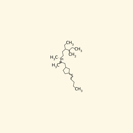 C=C(CC)C(CC)CC[C@@H](C)[C@H](C)CC1CCC(=S=CCCC)C1